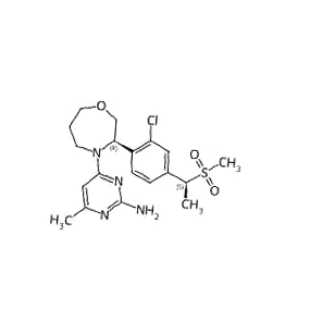 Cc1cc(N2CCCOC[C@H]2c2ccc([C@H](C)S(C)(=O)=O)cc2Cl)nc(N)n1